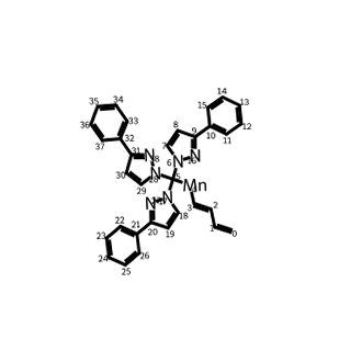 C=CC=[CH][Mn][C](n1ccc(-c2ccccc2)n1)(n1ccc(-c2ccccc2)n1)n1ccc(-c2ccccc2)n1